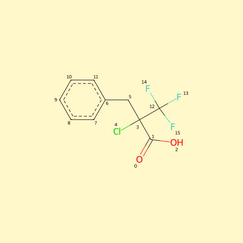 O=C(O)C(Cl)(Cc1ccccc1)C(F)(F)F